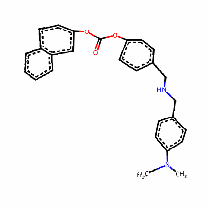 CN(C)c1ccc(CNCc2ccc(OC(=O)Oc3ccc4ccccc4c3)cc2)cc1